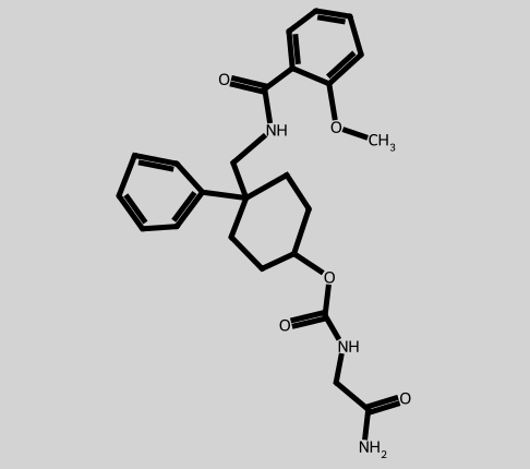 COc1ccccc1C(=O)NCC1(c2ccccc2)CCC(OC(=O)NCC(N)=O)CC1